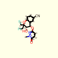 Cn1nc(O[C@@H]2c3cc(C#N)ccc3OC(CF)(CF)[C@H]2O)ccc1=O